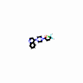 O=C(/C=C\C(F)(F)Cl)N1CCN(c2ccnc3ccccc23)CC1